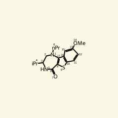 CCCN1CC(C(C)C)NC(=O)c2sc3ccc(OC)cc3c21